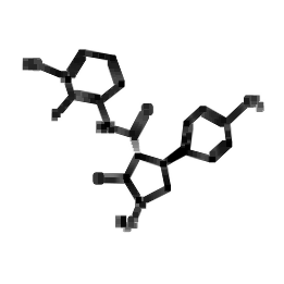 CN1C[C@H](c2ccc(C(F)(F)F)cc2)[C@@H](C(=O)Nc2ccc[n+](O)c2F)C1=O